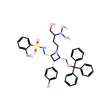 CN(C)C(CO)CCN1[C@H](COC(c2ccccc2)(c2ccccc2)c2ccccc2)[C@H](c2ccc(Br)cc2)[C@@H]1CNS(=O)(=O)c1ccccc1[N+](=O)[O-]